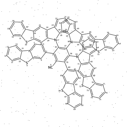 N#Cc1c(-c2ccc3c(c2)sc2ccccc23)c(-n2c3ccccc3c3cc4c(cc32)sc2ccccc24)c(-n2c3ccccc3c3cc4c(cc32)sc2ccccc24)c(-n2c3ccccc3c3cc4c(cc32)sc2ccccc24)c1-c1ccc2c(c1)sc1ccccc12